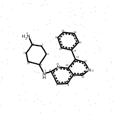 NC1CCC(Nc2ccc3cncc(-c4ccccc4)c3n2)CC1